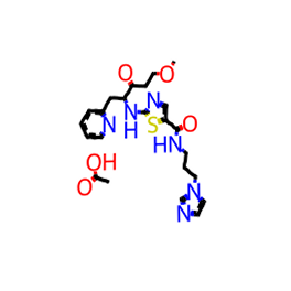 CC(=O)O.COCCC(=O)C(Cc1ccccn1)Nc1ncc(C(=O)NCCCn2ccnc2)s1